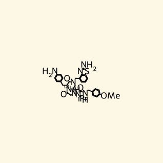 COc1ccc(CNC(=O)N(C(C)C)N2CC(=O)N3[C@@H](Cc4ccc(N)cc4)C(=O)N(Cc4cccc5sc(N)nc45)C[C@@H]32)cc1